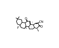 C[C@@H]1C(=O)C(C#N)=C[C@]2(C)C3=CC(=O)C4C5CC(C)(C)CC[C@]5(F)CC[C@@]4(C)[C@]3(C)CCC12